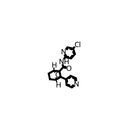 O=C(Nc1ccc(Cl)cn1)C1C(c2ccncc2)[C@@H]2CC[C@H]1O2